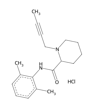 CC#CCN1CCCCC1C(=O)Nc1c(C)cccc1C.Cl